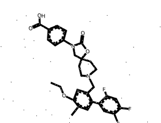 CCOc1cc(CN2CCC3(CC2)CN(c2ccc(C(=O)O)cc2)C(=O)O3)c(-c2cc(F)c(F)cc2F)cc1C